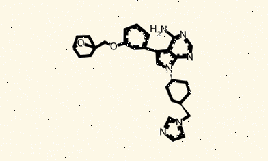 Nc1ncnc2c1c(-c1cccc(OCC34CCC(CC3)O4)c1)cn2[C@H]1CC[C@H](Cn2ccnc2)CC1